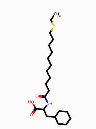 CCSCCCCCCCCCCC(=O)NC(CC1CCCCC1)C(=O)O